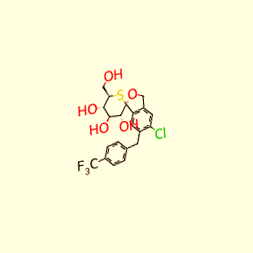 OC[C@H]1S[C@]2(OCc3cc(Cl)c(Cc4ccc(C(F)(F)F)cc4)cc32)[C@H](O)[C@@H](O)[C@@H]1O